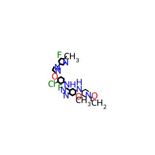 C=CC(=O)N1CCC(Nc2cc3c(Nc4ccc(Oc5ccn(-c6cnc(C)c(F)c6)n5)c(Cl)c4F)ncnc3cc2OC)CC1